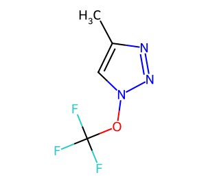 Cc1cn(OC(F)(F)F)nn1